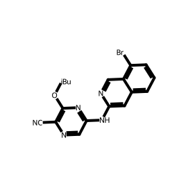 CCC(C)Oc1nc(Nc2cc3cccc(Br)c3cn2)cnc1C#N